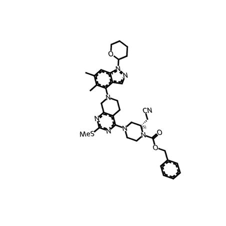 CSc1nc2c(c(N3CCN(C(=O)OCc4ccccc4)[C@@H](CC#N)C3)n1)CCN(c1c(C)c(C)cc3c1cnn3C1CCCCO1)C2